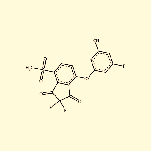 CS(=O)(=O)c1ccc(Oc2cc(F)cc(C#N)c2)c2c1C(=O)C(F)(F)C2=O